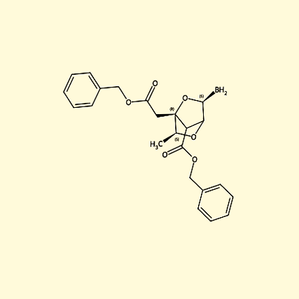 B[C@@H]1O[C@]2(CC(=O)OCc3ccccc3)C(C(=O)OCc3ccccc3)C1O[C@H]2C